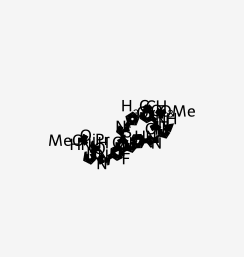 COC(=O)NC(C(=O)N1[C@@H]2CC2C[C@H]1c1ncc(-c2ccc3c(c2)cc2n3C(c3cnc(C4CCCC4)s3)Oc3cc(-c4cnc([C@@H]5CCCN5C(=O)[C@@H](NC(=O)OC)C(C)C)[nH]4)cc(F)c3-2)[nH]1)C1CCOC(C)(C)C1